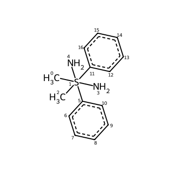 CS(C)(N)(N)(c1ccccc1)c1ccccc1